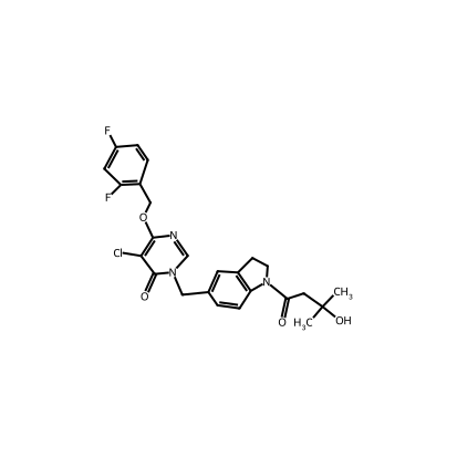 CC(C)(O)CC(=O)N1CCc2cc(Cn3cnc(OCc4ccc(F)cc4F)c(Cl)c3=O)ccc21